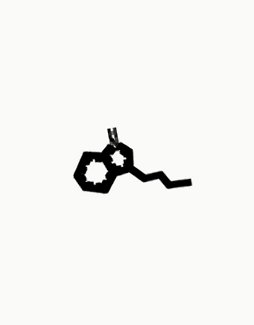 CCCCc1c[nH]c2ccccc12